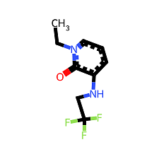 CCn1cccc(NCC(F)(F)F)c1=O